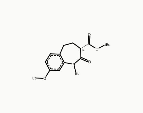 CCOc1ccc2c(c1)N(CC)C(=O)[C@@H](C(=O)OC(C)(C)C)CC2